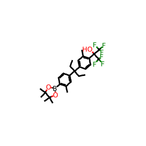 CCC(CC)(c1ccc(B2OC(C)(C)C(C)(C)O2)c(C)c1)c1ccc(C(O)(C(F)(F)F)C(F)(F)F)c(C)c1